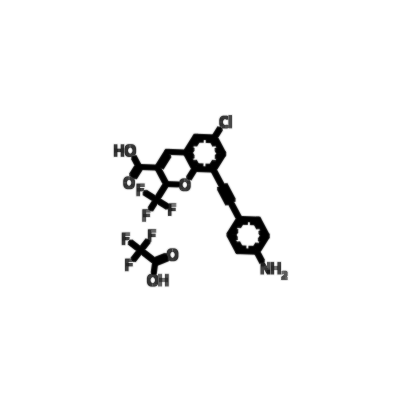 Nc1ccc(C#Cc2cc(Cl)cc3c2OC(C(F)(F)F)C(C(=O)O)=C3)cc1.O=C(O)C(F)(F)F